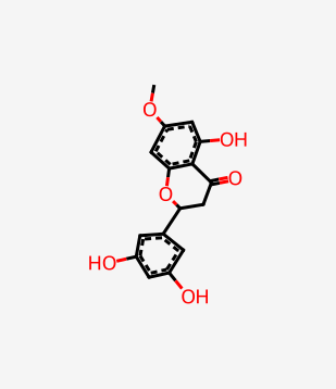 COc1cc(O)c2c(c1)OC(c1cc(O)cc(O)c1)CC2=O